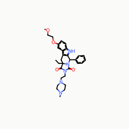 CCC12Cc3c([nH]c4ccc(OCCOC)cc34)C(c3ccccc3)N1C(=O)N(CCN1CCN(C)CC1)C2=O